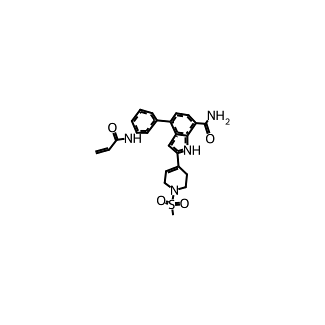 C=CC(=O)Nc1cccc(-c2ccc(C(N)=O)c3[nH]c(C4=CCN(S(C)(=O)=O)CC4)cc23)c1